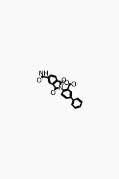 NC(=O)c1ccc2c(c1)C(=O)N(c1ccc(-c3ccccc3)cc1C(=O)O)C2=O